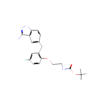 CC(C)(C)OC(=O)NCCOc1ccc(F)cc1Cc1ccc2[nH]nc(N)c2c1